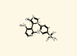 COc1ccnc(Cl)c1-c1c(Cl)ncn1-c1ccc(S(C)(=O)=O)cn1